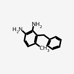 Cc1ccc(N)c(N)c1Cc1ccccc1